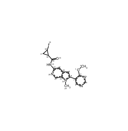 COc1ncncc1-c1cc2cc(NC(=O)C3CC3F)ncc2n1C